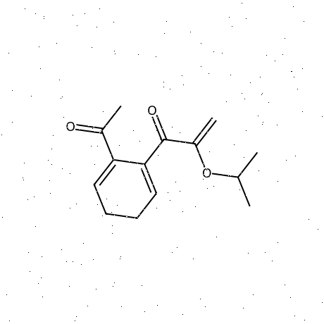 C=C(OC(C)C)C(=O)C1=CCCC=C1C(C)=O